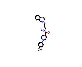 N#Cc1ccc(N2CCC(C(=O)NCCCN3CCc4ccccc4C3)CC2)cc1